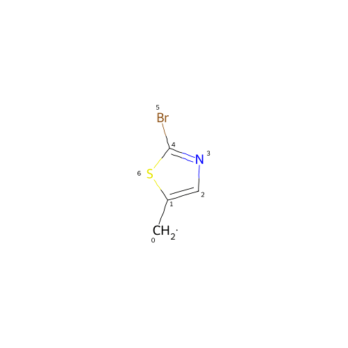 [CH2]c1cnc(Br)s1